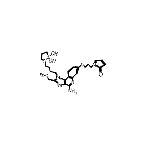 CCOCc1nc2c(N)nc3cc(OCCC[N+]4=CC=CC4=O)ccc3c2n1CCCCN1CCCS1(O)O